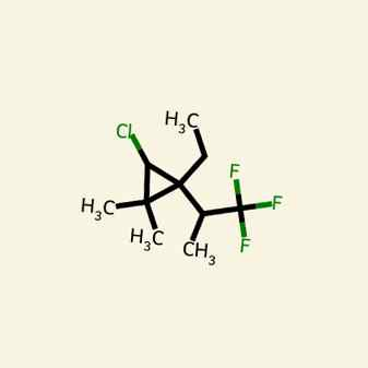 CCC1(C(C)C(F)(F)F)C(Cl)C1(C)C